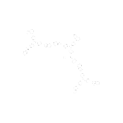 CN1c2ccc(-c3ccc4nc(-c5ccc(N(c6ccc(-c7ccc8sccc8c7)cc6)c6ccc(-c7nc8ccccc8s7)cc6)cc5)sc4c3)cc2OC1c1ccc(N(c2ccc(-c3nc4ccc(-c5ccc6nc(-c7ccc(N(c8ccc(-c9nc%10ccccc%10s9)cc8)c8ccc(-c9cccc%10ccsc9%10)cc8)cc7)sc6c5)cc4o3)cc2)c2ccc(-c3cccc4ccsc34)cc2)cc1